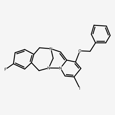 Fc1ccc2c(c1)CN1CN(C=C3C(OCc4ccccc4)=CC(I)=CN31)C2